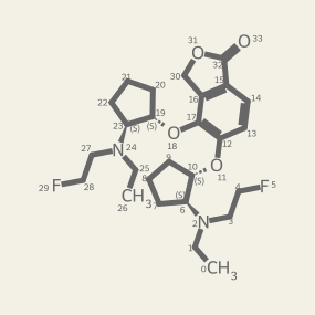 CCN(CCF)[C@H]1CCC[C@@H]1Oc1ccc2c(c1O[C@H]1CCC[C@@H]1N(CC)CCF)COC2=O